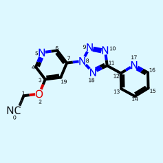 N#CCOc1cncc(-n2nnc(-c3ccccn3)n2)c1